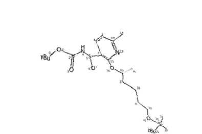 CCCCOC(=O)N[S+]([O-])c1ccc(C)nc1O[C@H](C)CCCCO[Si](C)(C)C(C)(C)C